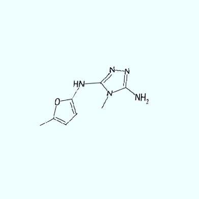 Cc1ccc(Nc2nnc(N)n2C)o1